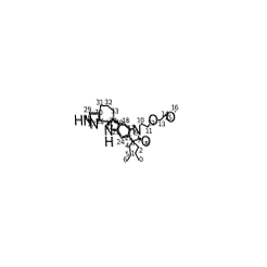 CCCC1(CCC)C(=O)N(CCOCCOC)c2cc3c4c([nH]c3cc21)-c1n[nH]cc1CCC4